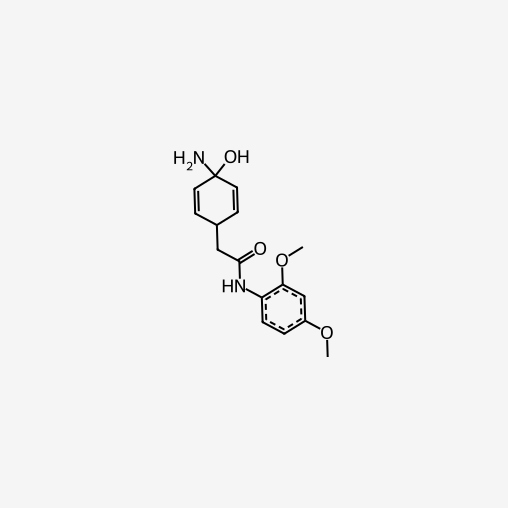 COc1ccc(NC(=O)CC2C=CC(N)(O)C=C2)c(OC)c1